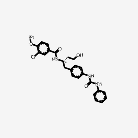 CC(C)Oc1ccc(C(=O)N[C@H](CCO)Cc2ccc(NC(=O)Nc3ccccc3)cc2)cc1Cl